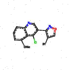 COc1cccc2n[c]c(-c3nocc3C(C)C)c(Cl)c12